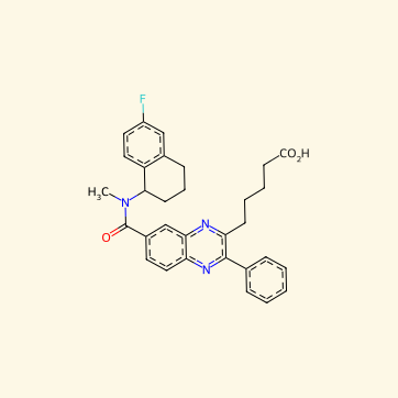 CN(C(=O)c1ccc2nc(-c3ccccc3)c(CCCCC(=O)O)nc2c1)C1CCCc2cc(F)ccc21